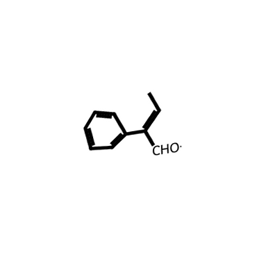 C/C=C(/[C]=O)c1ccccc1